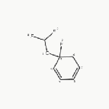 FC(F)OC1(F)[CH]C=CC=C1